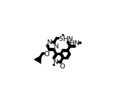 CN/C=C(\C=N)c1ccc2c(=O)n(C)cc(-c3nc(CSC)ncc3OCC3CC3)c2c1